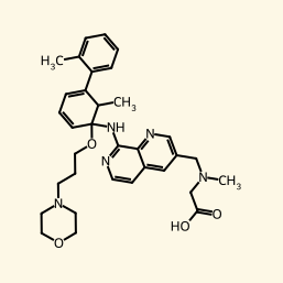 Cc1ccccc1C1=CC=CC(Nc2nccc3cc(CN(C)CC(=O)O)cnc23)(OCCCN2CCOCC2)C1C